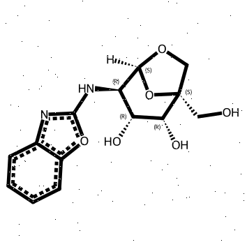 OC[C@@]12CO[C@@H](O1)[C@H](Nc1nc3ccccc3o1)[C@@H](O)[C@H]2O